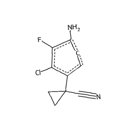 N#CC1(c2ccc(N)c(F)c2Cl)CC1